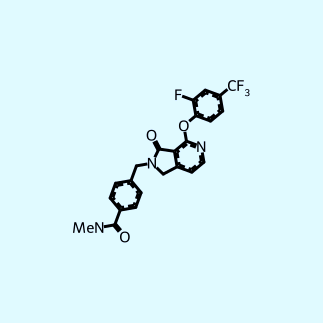 CNC(=O)c1ccc(CN2Cc3ccnc(Oc4ccc(C(F)(F)F)cc4F)c3C2=O)cc1